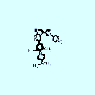 Cc1cc(-c2cc3c(-c4cnn(C5CCN(C)CC5)c4)c[nH]c3nn2)cc(C)c1N1CCC(N(C)C)CC1